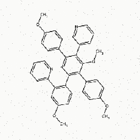 COc1ccc(-c2[c]c(-c3ccc(OC)cc3-c3ccccn3)c(-c3ccc(OC)cc3)c(OC)c2-c2cccnc2)cc1